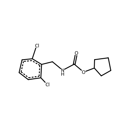 O=C(NCc1c(Cl)cccc1Cl)OC1CCCC1